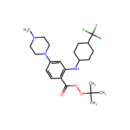 CN1CCN(c2ccc(C(=O)OOC(C)(C)C)c(NC3CCC(C(F)(F)F)CC3)c2)CC1